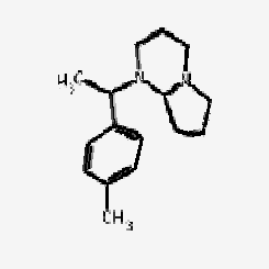 Cc1ccc(C(C)N2CCCN3CCCC32)cc1